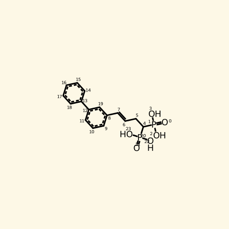 O=P(O)(O)C(CC=Cc1cccc(-c2ccccc2)c1)P(=O)(O)O